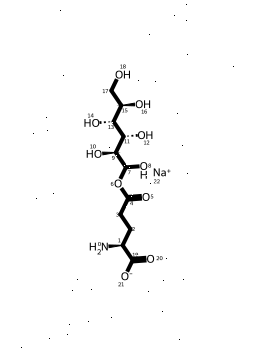 N[C@@H](CCC(=O)OC(O)[C@@H](O)[C@@H](O)[C@H](O)[C@H](O)CO)C(=O)[O-].[Na+]